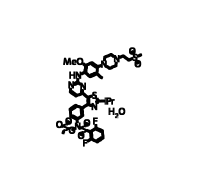 COc1cc(N2CCN(CCS(C)(=O)=O)CC2)c(C)cc1Nc1nccc(-c2sc(C(C)C)nc2-c2cccc(N(OS(C)(=O)=O)S(=O)(=O)c3c(F)cccc3F)c2)n1.O